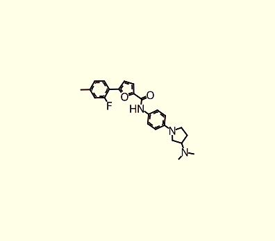 Cc1ccc(-c2ccc(C(=O)Nc3ccc(N4CCC(N(C)C)C4)cc3)o2)c(F)c1